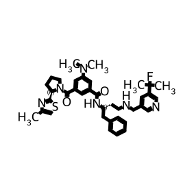 Cc1csc([C@H]2CCCN2C(=O)c2cc(C(=O)N[C@H](CCNCc3cncc(C(C)(C)F)c3)Cc3ccccc3)cc(N(C)C)c2)n1